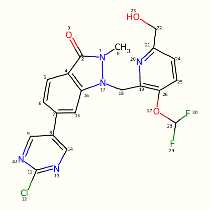 Cn1c(=O)c2ccc(-c3cnc(Cl)nc3)cc2n1Cc1nc(CO)ccc1OC(F)F